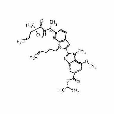 C=CCCCn1c(-c2nc3cc(C(=O)OC(C)C)cc(OC)c3n2C)cc2ccc([C@@H](C)NC(=O)C(C)(C)CC=C)nc21